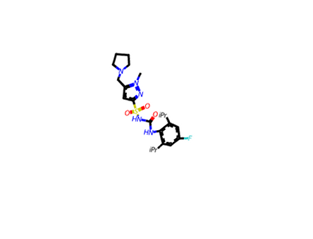 CC(C)c1cc(F)cc(C(C)C)c1NC(=O)NS(=O)(=O)c1cc(CN2CCCC2)n(C)n1